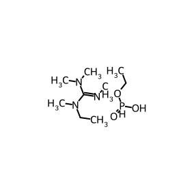 CCN(C)C(=NC)N(C)C.CCO[PH](=O)O